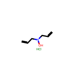 C=CCN(O)CC=C.Cl